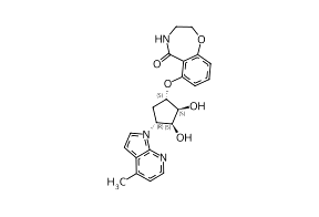 Cc1ccnc2c1ccn2[C@@H]1C[C@H](Oc2cccc3c2C(=O)NCCO3)[C@@H](O)[C@H]1O